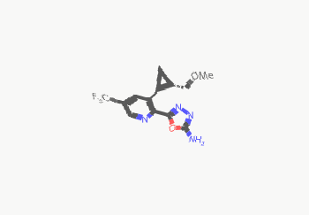 COC[C@H]1C[C@@H]1c1cc(C(F)(F)F)cnc1-c1nnc(N)o1